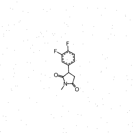 CN1C(=O)CC(c2ccc(F)c(F)c2)C1=O